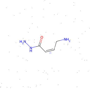 NC/C=C\C(=O)NN